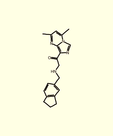 Cc1cc(C)n2cnc(C(=O)CNCc3ccc4c(c3)CCC4)c2n1